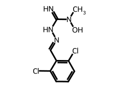 CN(O)C(=N)NN=Cc1c(Cl)cccc1Cl